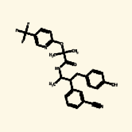 CC(NC(=O)C(C)(C)Oc1ccc(C(F)(F)F)cn1)C(Cc1ccc(O)cc1)c1cccc(C#N)c1